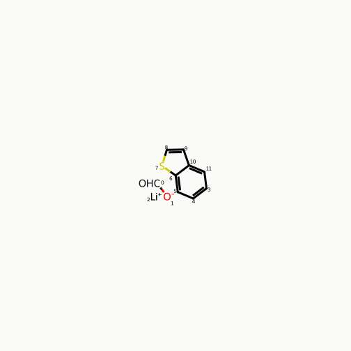 O=C[O-].[Li+].c1ccc2sccc2c1